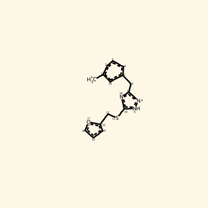 Cc1cccc(Cc2n[nH]c(SCc3ccco3)n2)c1